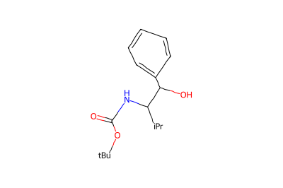 CC(C)C(NC(=O)OC(C)(C)C)C(O)c1ccccc1